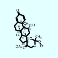 CCOC1(C)OCC(=O)[C@@]2(O1)[C@H](OC(C)=O)C[C@H]1[C@@H]3CCC4=CC(=O)C=C[C@]4(C)[C@@]3(F)[C@@H](O)C[C@@]12C